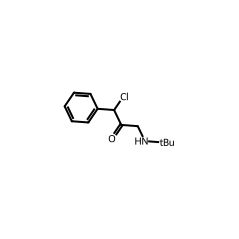 CC(C)(C)NCC(=O)C(Cl)c1ccccc1